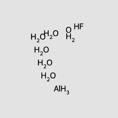 F.O.O.O.O.O.O.[AlH3]